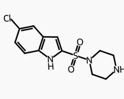 O=S(=O)(c1cc2cc(Cl)ccc2[nH]1)N1CCNCC1